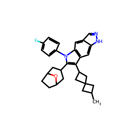 CC1CC2(C1)CC(c1c(C3CC4CCC(C3)O4)n(-c3ccc(F)cc3)c3cc4cn[nH]c4cc13)C2